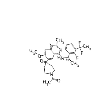 COc1cc2nc(C)nc(N[C@H](C)c3cccc(C(C)(F)F)c3F)c2cc1P1(=O)CCN(C(C)=O)CC1